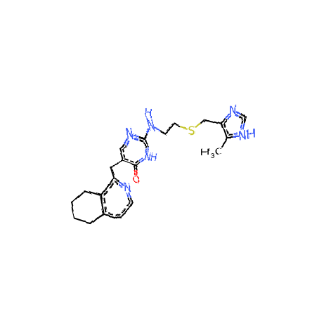 Cc1[nH]cnc1CSCCNc1ncc(Cc2nccc3c2CCCC3)c(=O)[nH]1